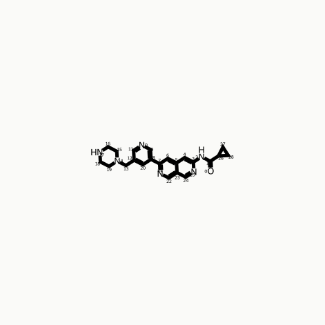 O=C(Nc1cc2cc(-c3cncc(CN4CCNCC4)c3)ncc2cn1)C1CC1